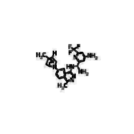 Cc1nnc(N[C@H](N)c2cc(N)cc(C(F)(F)F)n2)c2cc(N3C[C@H]4CCC3CN4C)ccc12